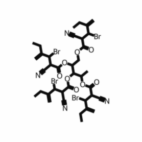 C=C(CC)C(Br)C(C#N)C(=O)OCC(OC(=O)C(C#N)C(Br)C(=C)CC)C(OC(=O)C(C#N)C(Br)C(=C)CC)C(C)OC(=O)C(C#N)C(Br)C(=C)CC